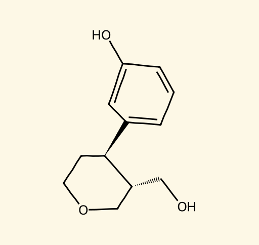 OC[C@@H]1COCC[C@H]1c1cccc(O)c1